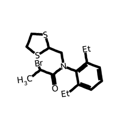 CCc1cccc(CC)c1N(CC1SCCS1)C(=O)C(C)Br